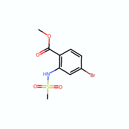 COC(=O)c1ccc(Br)cc1NS(C)(=O)=O